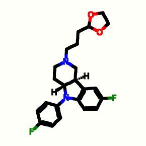 Fc1ccc(N2c3ccc(F)cc3[C@@H]3CN(CCCC4OCCO4)CC[C@H]32)cc1